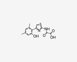 Cc1cc(C)c(-c2csc(NC(=O)C(=O)O)n2)c(O)c1